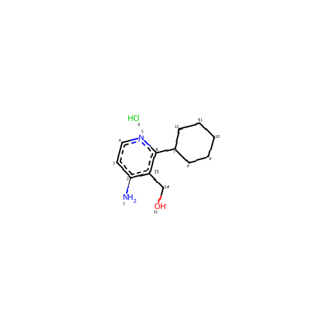 Cl.Nc1ccnc(C2CCCCC2)c1CO